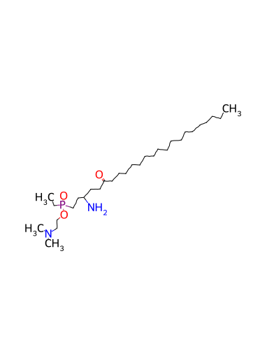 CCCCCCCCCCCCCCCCCCC(=O)CCC(N)CCP(=O)(CC)OCCN(C)C